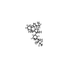 C[C@@H]1C2C[C@@H]1C(=O)c1c2[nH]c(-c2ccnc(NC(=O)C(C)(C)F)c2)c1Nc1ccccc1